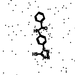 O=C(Nc1ccc(-n2nnnc2S)cc1)c1ccccc1